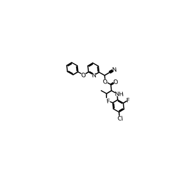 CC(C)C(Nc1c(F)cc(Cl)cc1F)C(=O)OC(C#N)c1cccc(Oc2ccccc2)n1